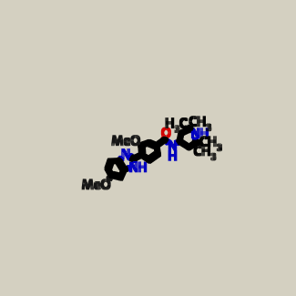 COc1ccc2nc(-c3ccc(C(=O)NC4CC(C)(C)NC(C)(C)C4)cc3OC)[nH]c2c1